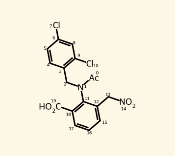 CC(=O)N(Cc1ccc(Cl)cc1Cl)c1c(C[N+](=O)[O-])cccc1C(=O)O